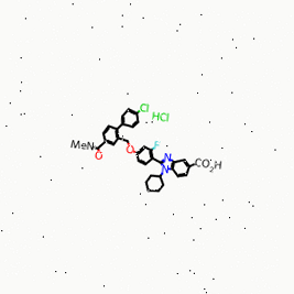 CNC(=O)c1ccc(-c2ccc(Cl)cc2)c(COc2ccc(-c3nc4cc(C(=O)O)ccc4n3C3CCCCC3)c(F)c2)c1.Cl